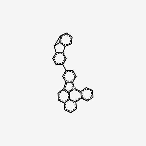 c1cc2c3c(c1)C3c1ccc(-c3ccc4c(c3)c3ccc5cccc6c7ccccc7n4c3c56)cc1-2